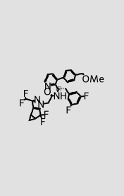 COCc1ccc(-c2cccnc2[C@H](Cc2cc(F)cc(F)c2)NC(=O)Cn2nc(C(F)F)c3c2C(F)(F)C2CC32)cc1